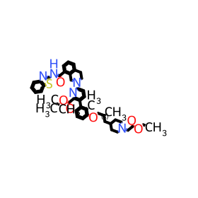 CCOC(=O)CN1CCC(C[C@@H](C)COc2cccc(-c3ccc(N4CCc5cccc(C(=O)Nc6nc7ccccc7s6)c5C4)nc3C(=O)OC(C)(C)C)c2C)CC1